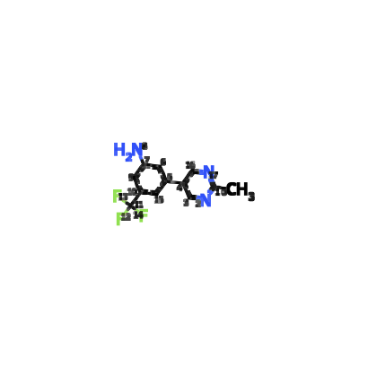 Cc1ncc(-c2cc(N)cc(C(F)(F)F)c2)cn1